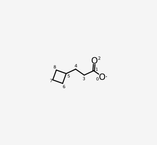 [O]C(=O)CCC1CCC1